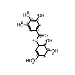 O=C(O)C1=CC(OC(=O)c2cc(O)c(O)c(O)c2)C(O)C(O)C1